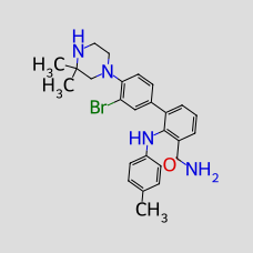 Cc1ccc(Nc2c(C(N)=O)cccc2-c2ccc(N3CCNC(C)(C)C3)c(Br)c2)cc1